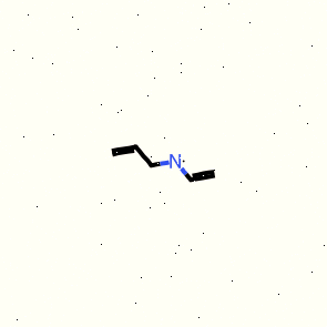 C=CC[N]C=C